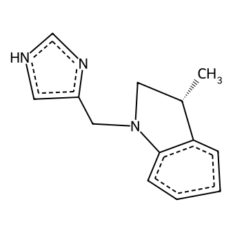 C[C@H]1CN(Cc2c[nH]cn2)c2ccccc21